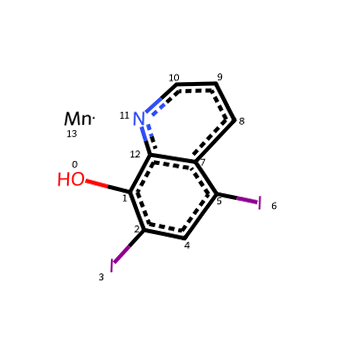 Oc1c(I)cc(I)c2cccnc12.[Mn]